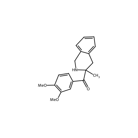 COc1ccc(C(=O)C2(C)Cc3ccccc3CN2)cc1OC